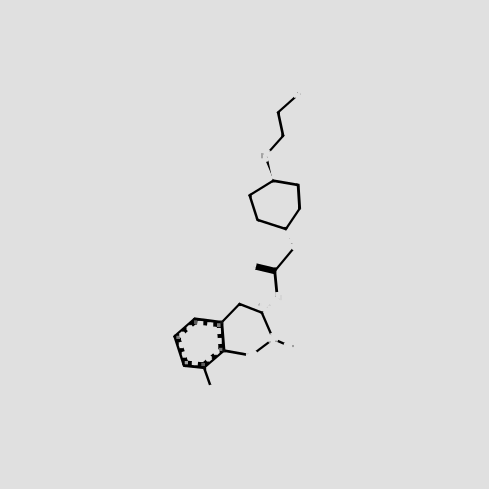 NCCN[C@H]1CC[C@H](CC(=O)N[C@H]2Cc3cccc(C(=O)O)c3OB2O)CC1